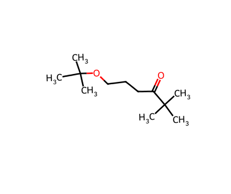 CC(C)(C)OCCCC(=O)C(C)(C)C